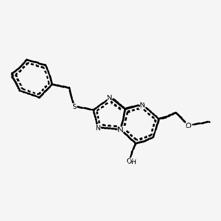 COCc1cc(O)n2nc(SCc3ccccc3)nc2n1